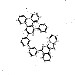 c1ccc(-c2nc(-c3cccc(-c4cccc(-c5nc6c(nc7ccccn76)c6ccccc56)c4)c3)nc(-c3ccccc3)c2-c2ccccc2)cc1